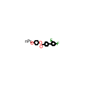 CCCO[C@H]1CC[C@H](OC(=O)c2ccc(-c3ccc(F)cc3F)cc2)CC1